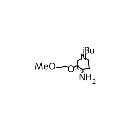 CCC(C)N1CC[C@@H](N)[C@@H](OCCOC)C1